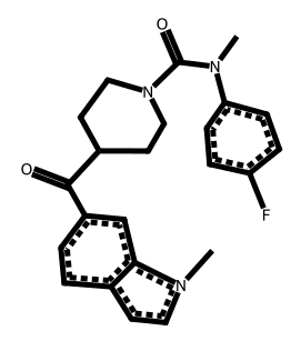 CN(C(=O)N1CCC(C(=O)c2ccc3ccn(C)c3c2)CC1)c1ccc(F)cc1